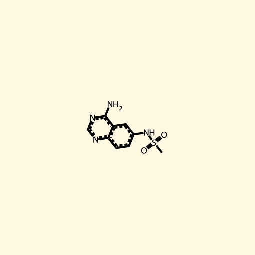 CS(=O)(=O)Nc1ccc2ncnc(N)c2c1